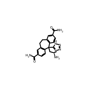 NC(=O)c1ccc2c(c1)CCc1cc(C(N)=O)ccc1C2(C[C@H](N)I)c1nnn[nH]1